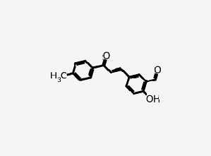 Cc1ccc(C(=O)C=Cc2ccc(O)c(C=O)c2)cc1